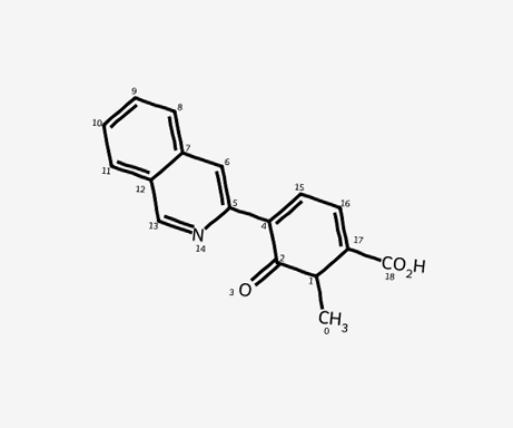 CC1C(=O)C(c2cc3ccccc3cn2)=CC=C1C(=O)O